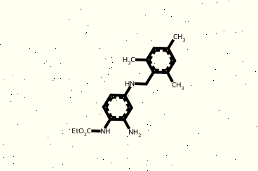 CCOC(=O)Nc1ccc(NCc2c(C)cc(C)cc2C)cc1N